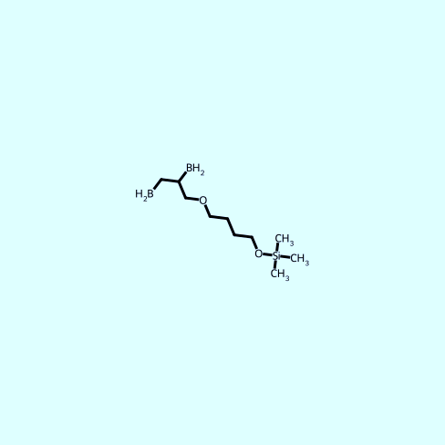 BCC(B)COCCCCO[Si](C)(C)C